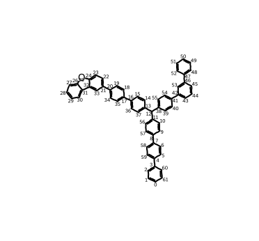 c1ccc(-c2ccc(-c3ccc(C(c4ccc(-c5ccc(-c6ccc7oc8ccccc8c7c6)cc5)cc4)c4ccc(-c5cccc(-c6ccccc6)c5)cc4)cc3)cc2)cc1